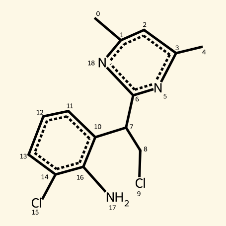 Cc1cc(C)nc(C(CCl)c2cccc(Cl)c2N)n1